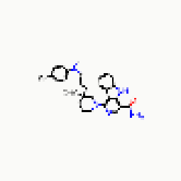 CC(C)c1ccc(N(C)CCCC2(C=O)CCCN(c3ncc(C(N)=O)c4[nH]c5ccccc5c34)C2)cc1